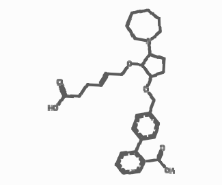 O=C(O)CCC=CCOC1C(OCc2ccc(-c3ccccc3C(=O)O)cc2)CCC1N1CCCCCC1